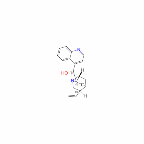 C=C[C@H]1CN2CCC1C[C@H]2[C@H](O)c1ccnc2ccccc12